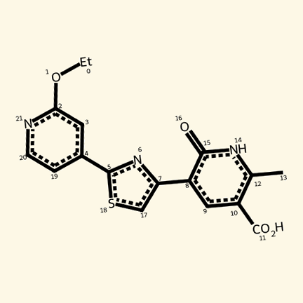 CCOc1cc(-c2nc(-c3cc(C(=O)O)c(C)[nH]c3=O)cs2)ccn1